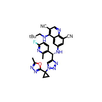 Cc1nnc(C2(n3cc([C@@H](Nc4cc(C#N)c5ncc(C#N)c(NCC(C)(C)C)c5c4)c4ccc(F)nc4C)nn3)CC2)o1